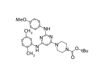 COc1ccc(Nc2nc(Nc3cc(C)ccc3C)cc(N3CCN(C(=O)OC(C)(C)C)CC3)n2)cc1